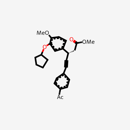 COC(=O)C[C@H](C#Cc1ccc(C(C)=O)cc1)c1ccc(OC)c(OC2CCCC2)c1